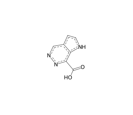 O=C(O)c1nncc2cc[nH]c12